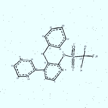 O=S(=O)(Oc1nccc(-c2cnccn2)c1Cc1ccccc1)C(F)(F)F